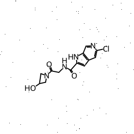 O=C(NCC(=O)N1CC(O)C1)c1cc2cc(Cl)ncc2[nH]1